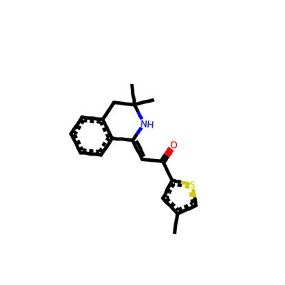 Cc1csc(C(=O)C=C2NC(C)(C)Cc3ccccc32)c1